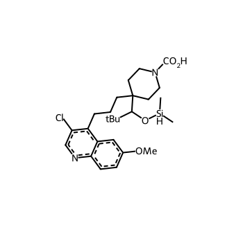 COc1ccc2ncc(Cl)c(CCCC3(C(O[SiH](C)C)C(C)(C)C)CCN(C(=O)O)CC3)c2c1